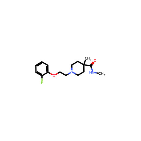 CNC(=O)C1(C)CCN(CCOc2ccccc2F)CC1